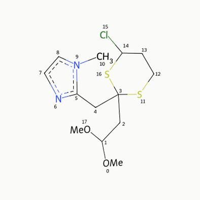 COC(CC1(Cc2nccn2C)SCCC(Cl)S1)OC